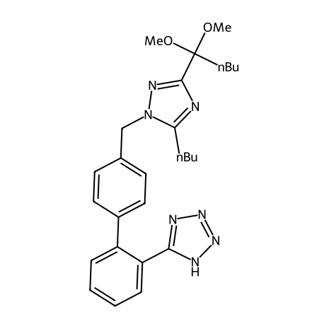 CCCCc1nc(C(CCCC)(OC)OC)nn1Cc1ccc(-c2ccccc2-c2nnn[nH]2)cc1